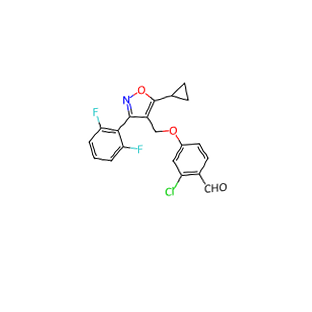 O=Cc1ccc(OCc2c(-c3c(F)cccc3F)noc2C2CC2)cc1Cl